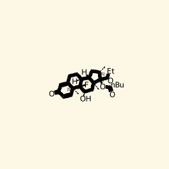 CCCCC(=O)O[C@]1(C(=O)CC)[C@@H](C)C[C@H]2[C@@H]3CCC4=CC(=O)C=C[C@]4(C)[C@@]3(F)[C@@H](O)C[C@@]21C